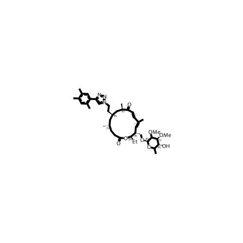 CC[C@H]1OC(=O)CC[C@H](C)C[C@@H](CCn2cc(-c3cc(C)c(C)cc3C)nn2)C[C@@H](C)C(=O)/C=C/C(C)=C/[C@@H]1CO[C@@H]1OC(C)[C@@H](O)[C@H](OC)C1OC